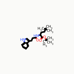 CC(C)(C)CCC(NC(=O)CCc1c[nH]c2ccccc12)C(=O)OC(C)(C)C